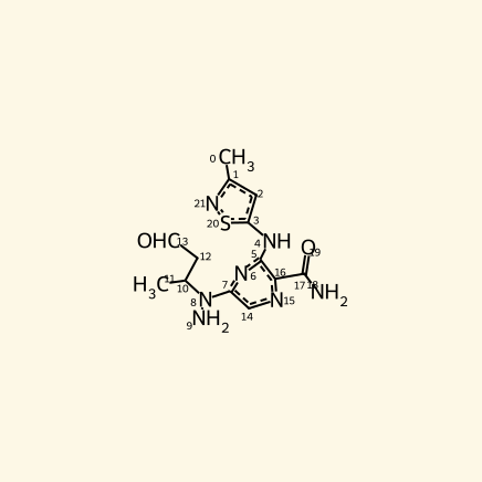 Cc1cc(Nc2nc(N(N)C(C)CC=O)cnc2C(N)=O)sn1